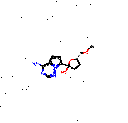 CCCCOC[C@@H]1CCC(O)(c2ccc3c(N)ncnn23)O1